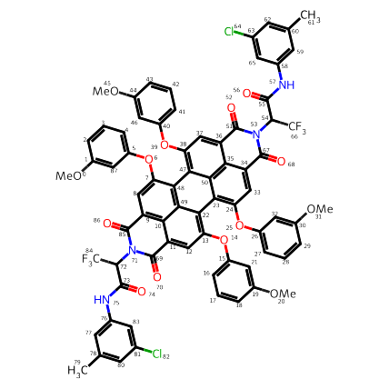 COc1cccc(Oc2cc3c4c(cc(Oc5cccc(OC)c5)c5c6c(Oc7cccc(OC)c7)cc7c8c(cc(Oc9cccc(OC)c9)c(c2c45)c86)C(=O)N(C(C(=O)Nc2cc(C)cc(Cl)c2)C(F)(F)F)C7=O)C(=O)N(C(C(=O)Nc2cc(C)cc(Cl)c2)C(F)(F)F)C3=O)c1